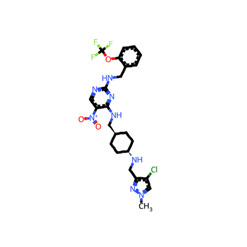 Cn1cc(Cl)c(CN[C@H]2CC[C@H](CNc3nc(NCc4ccccc4OC(F)(F)F)ncc3[N+](=O)[O-])CC2)n1